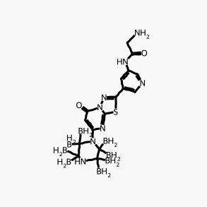 BC1(B)NC(B)(B)C(B)(B)N(c2cc(=O)n3nc(-c4cncc(NC(=O)CN)c4)sc3n2)C1(B)B